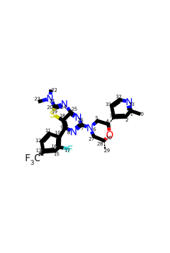 Cc1cc([C@H]2CN(c3nc(-c4ccc(C(F)(F)F)cc4F)c4sc(N(C)C)nc4n3)C[C@@H](C)O2)ccn1